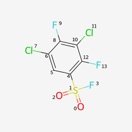 O=S(=O)(F)c1cc(Cl)c(F)c(Cl)c1F